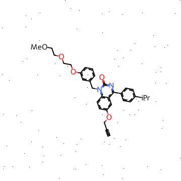 C#CCOc1ccc2c(c1)c(-c1ccc(C(C)C)cc1)nc(=O)n2Cc1cccc(OCCOCCOC)c1